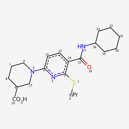 CCCSc1nc(N2CCCC(C(=O)O)C2)ccc1C(=O)NC1CCCCC1